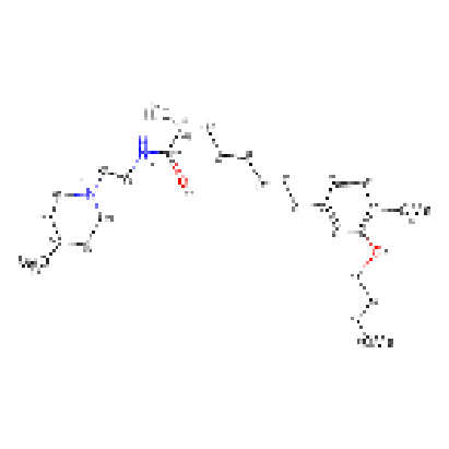 COCCCOc1cc(CCCCCC[C@@H](C)C(=O)NCCN2CCC(OC)CC2)ccc1OC